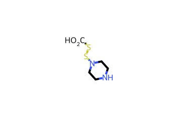 O=C(O)SSN1CCNCC1